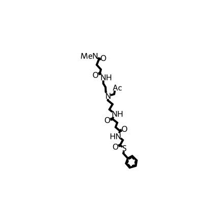 CNC(=O)CCC(=O)NCCCN(CCCNC(=O)CCC(=O)NCC(=O)SCc1ccccc1)CC(C)=O